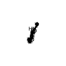 O=C(NCCCc1ccccc1)Oc1ccc(N2CCN(C(=O)c3cccc4ccccc34)CC2)cn1